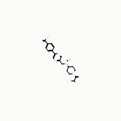 CCC(CC)C(=O)N1CCC(N(C)Cc2cnc(-c3ccc(C(N)=O)cc3)cn2)CC1